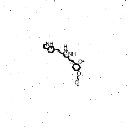 CNC(=C\C(=N)/C=C/c1ccc(OCCOC)cc1OC)/C=C/c1ccc2cc[nH]c2c1